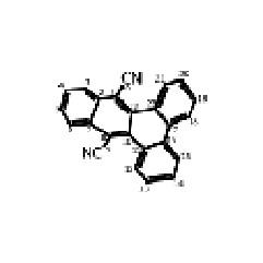 N#Cc1c2ccccc2c(C#N)c2c3ccccc3c3ccccc3c12